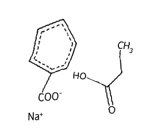 CCC(=O)O.O=C([O-])c1ccccc1.[Na+]